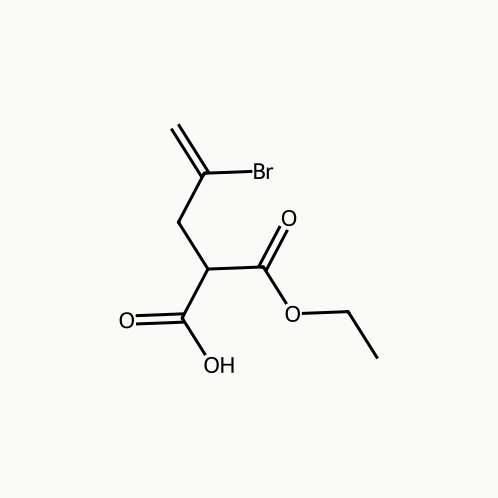 C=C(Br)CC(C(=O)O)C(=O)OCC